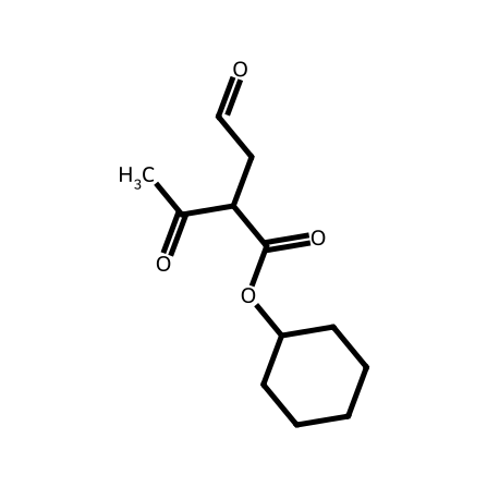 CC(=O)C(CC=O)C(=O)OC1CCCCC1